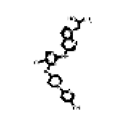 CC(O)Cn1ccc2cc(Nc3ncc(Cl)c(NC4CCN(c5ccc(C#N)cn5)CC4)n3)cnc21